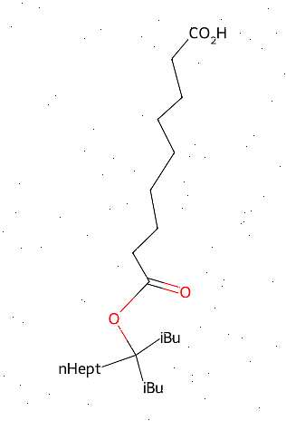 CCCCCCCC(OC(=O)CCCCCCCC(=O)O)(C(C)CC)C(C)CC